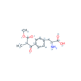 COC(=O)C(C)C(=O)c1ccc(CC(N)C(=O)O)cc1